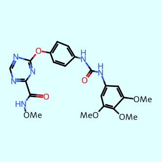 CONC(=O)c1ncnc(Oc2ccc(NC(=O)Nc3cc(OC)c(OC)c(OC)c3)cc2)n1